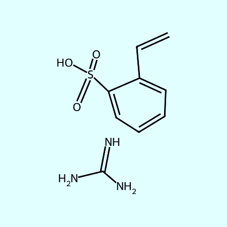 C=Cc1ccccc1S(=O)(=O)O.N=C(N)N